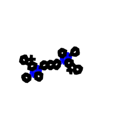 CC1(C)c2ccccc2-c2cc3c(cc21)N(c1ccc2cc4cc(N5c6ccccc6N(c6ccccc6)c6cc7c(cc65)C(C)(C)c5ccccc5-7)ccc4cc2c1)c1ccccc1N3c1ccccc1